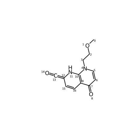 COCCn1ccc(=O)c2c1NC(=C=O)C=C2